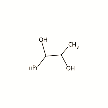 C[CH]CC(O)C(C)O